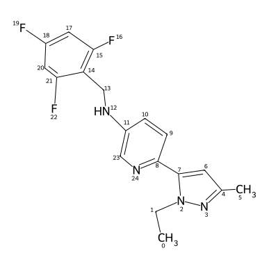 CCn1nc(C)cc1-c1ccc(NCc2c(F)cc(F)cc2F)cn1